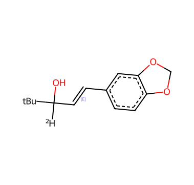 [2H]C(O)(/C=C/c1ccc2c(c1)OCO2)C(C)(C)C